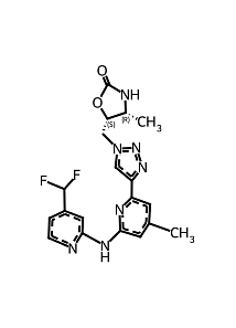 Cc1cc(Nc2cc(C(F)F)ccn2)nc(-c2cn(C[C@@H]3OC(=O)N[C@@H]3C)nn2)c1